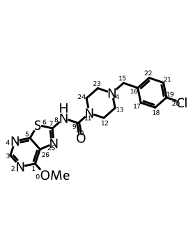 COc1ncnc2sc(NC(=O)N3CCN(Cc4ccc(Cl)cc4)CC3)nc12